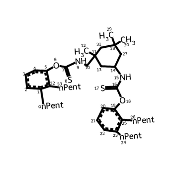 CCCCCc1cccc(OC(=S)NCC2(C)CC(NC(=S)Oc3cccc(CCCCC)c3CCCCC)CC(C)(C)C2)c1CCCCC